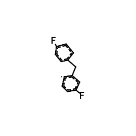 Fc1ccc(Cc2[c]ccc(F)c2)cc1